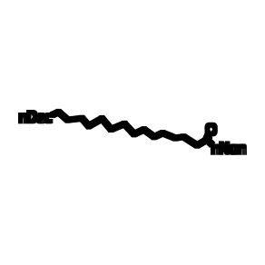 CCCCCCCCCCCCCCCCCCCCCCCCC(=O)CCCCCCCCC